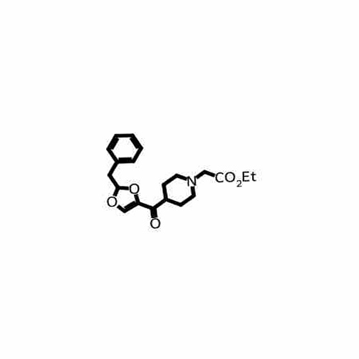 CCOC(=O)CN1CCC(C(=O)C2=COC(Cc3ccccc3)O2)CC1